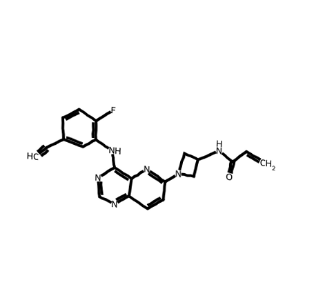 C#Cc1ccc(F)c(Nc2ncnc3ccc(N4CC(NC(=O)C=C)C4)nc23)c1